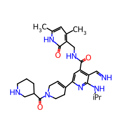 Cc1cc(C)c(CNC(=O)c2cc(C3=CCN(C(=O)C4CCCNC4)CC3)nc(NC(C)C)c2C=N)c(=O)[nH]1